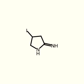 N=C1CC(I)CN1